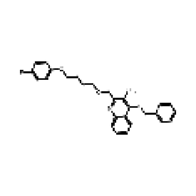 Cc1c(COCCCCOc2ccc(F)cc2)nc2ccccc2c1OCc1ccccc1